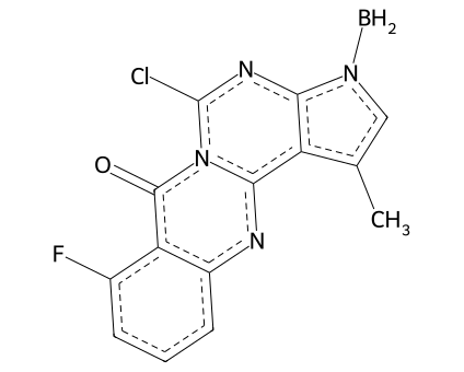 Bn1cc(C)c2c1nc(Cl)n1c(=O)c3c(F)cccc3nc21